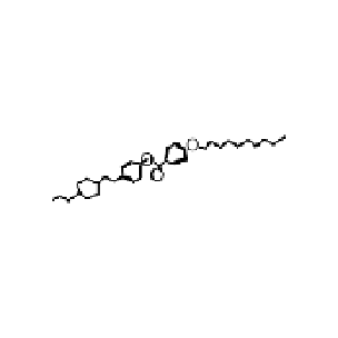 CCCCCCCCCCOc1ccc(C(=O)Oc2ccc(CCC3CCC(CCC)CC3)cc2)cc1